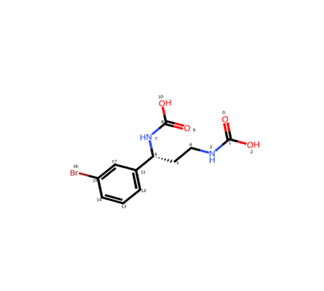 O=C(O)NCC[C@@H](NC(=O)O)c1cccc(Br)c1